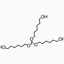 OCCCCCCOP(OCCCCCCO)OCCCCCCO